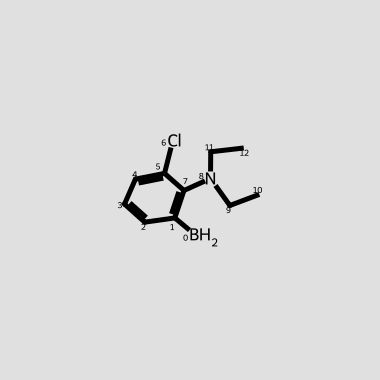 Bc1cccc(Cl)c1N(CC)CC